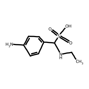 CCNC(c1ccc(N)cc1)S(=O)(=O)O